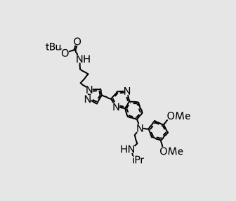 COc1cc(OC)cc(N(CCNC(C)C)c2ccc3ncc(-c4cnn(CCCNC(=O)OC(C)(C)C)c4)nc3c2)c1